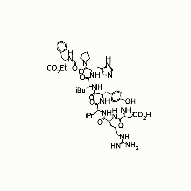 CCOC(=O)[C@H](Cc1ccccc1)NC(=O)[C@@H]1CCCN1C(=O)[C@H](Cc1cnc[nH]1)NC(=O)[C@@H](NC(=O)[C@H](Cc1ccc(O)cc1)NC(=O)[C@@H](NC(=O)[C@H](CCCNC(=N)N)NC(=O)[C@@H](N)CC(=O)O)C(C)C)[C@@H](C)CC